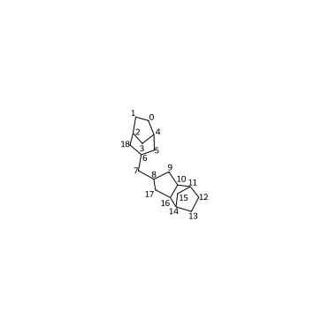 C1CC2CC1CC(CC1CC3C4CCC(C4)C3C1)C2